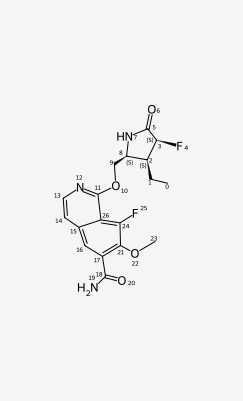 CC[C@@H]1[C@H](F)C(=O)N[C@@H]1COc1nccc2cc(C(N)=O)c(OC)c(F)c12